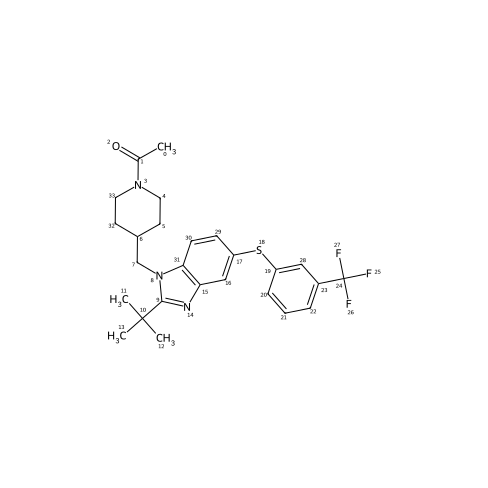 CC(=O)N1CCC(Cn2c(C(C)(C)C)nc3cc(Sc4cccc(C(F)(F)F)c4)ccc32)CC1